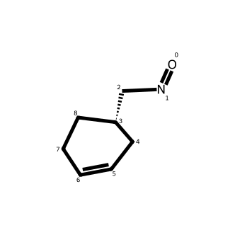 O=NC[C@@H]1CC=CCC1